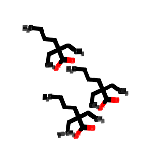 CCCCC(CC)(CC)C(=O)[O-].CCCCC(CC)(CC)C(=O)[O-].CCCCC(CC)(CC)C(=O)[O-].[Y+3]